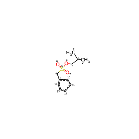 CC(C)COS(=O)(=O)Cc1ccccc1